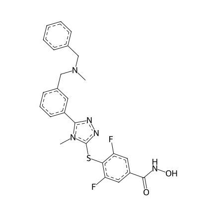 CN(Cc1ccccc1)Cc1cccc(-c2nnc(Sc3c(F)cc(C(=O)NO)cc3F)n2C)c1